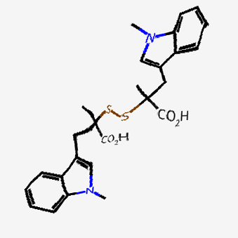 Cn1cc(CC(C)(SSC(C)(Cc2cn(C)c3ccccc23)C(=O)O)C(=O)O)c2ccccc21